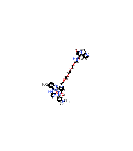 CC(C)N(C)[C@@H]1CC[C@H](N2CC[C@H](Nc3ncnc4ccc(C(F)(F)F)cc34)C2=O)[C@H](NC(=O)C2CCN(CCOCCOCCOCCOCCNC(=O)[C@H]3CC(=O)N(C)[C@@H]3c3cccnc3)CC2)C1